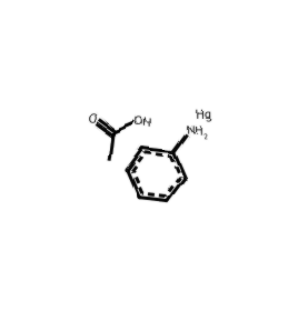 CC(=O)O.Nc1ccccc1.[Hg]